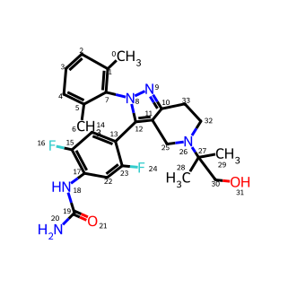 Cc1cccc(C)c1-n1nc2c(c1-c1cc(F)c(NC(N)=O)cc1F)CN(C(C)(C)CO)CC2